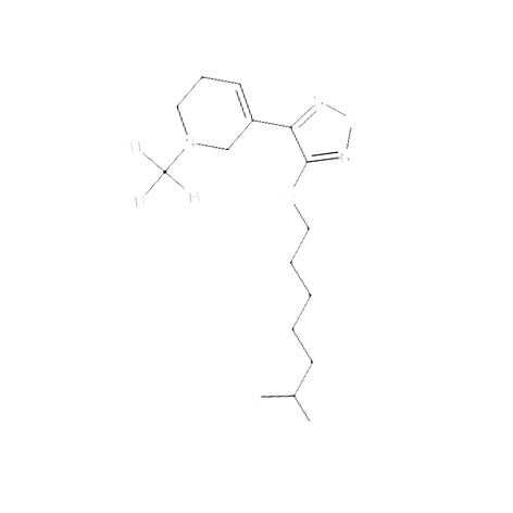 [2H]C([2H])([2H])N1CCC=C(c2nsnc2OCCCCCC(F)F)C1